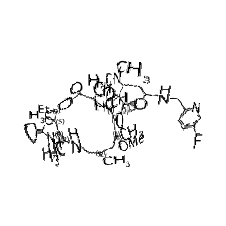 CC[C@H]1OC(=O)C(C)C(=O)[C@H](C)[C@@H](O[C@@H]2OC(CNCc3ccc(F)cn3)CC(N(C)C)C2O)[C@](C)(OC)C[C@@H](C)CN[C@H](C)[C@H]2NC(=O)O[C@@]21C